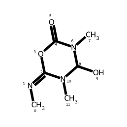 C/N=C1/OC(=O)N(C)C(O)N1C